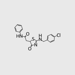 O=C(CC1SC(NCc2ccc(Cl)cc2)=NC1=O)Nc1ccccc1